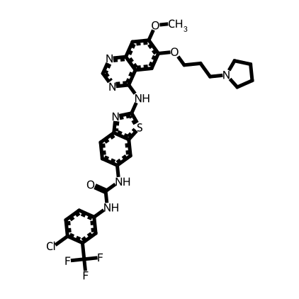 COc1cc2ncnc(Nc3nc4ccc(NC(=O)Nc5ccc(Cl)c(C(F)(F)F)c5)cc4s3)c2cc1OCCCN1CCCC1